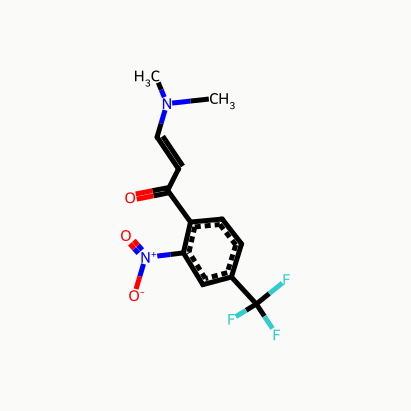 CN(C)C=CC(=O)c1ccc(C(F)(F)F)cc1[N+](=O)[O-]